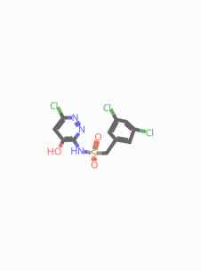 O=S(=O)(Cc1cc(Cl)cc(Cl)c1)Nc1nnc(Cl)cc1O